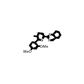 COc1ccc(-c2nc(-c3ncc4ccccc4n3)ccc2C)c(OC)c1